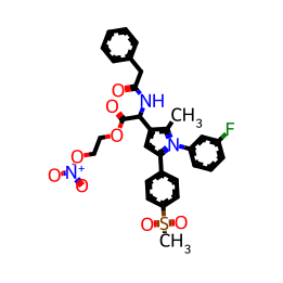 Cc1c(C(NC(=O)Cc2ccccc2)C(=O)OCCO[N+](=O)[O-])cc(-c2ccc(S(C)(=O)=O)cc2)n1-c1cccc(F)c1